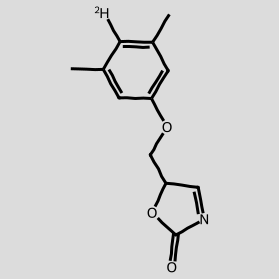 [2H]c1c(C)cc(OCC2C=NC(=O)O2)cc1C